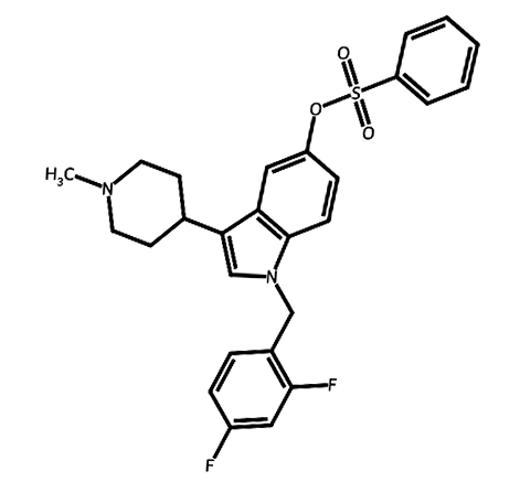 CN1CCC(c2cn(Cc3ccc(F)cc3F)c3ccc(OS(=O)(=O)c4ccccc4)cc23)CC1